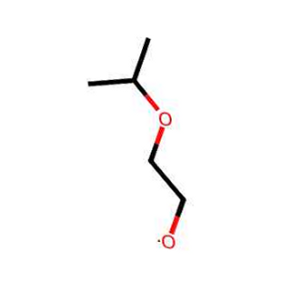 CC(C)OCC[O]